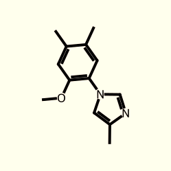 COc1cc(C)c(C)cc1-n1cnc(C)c1